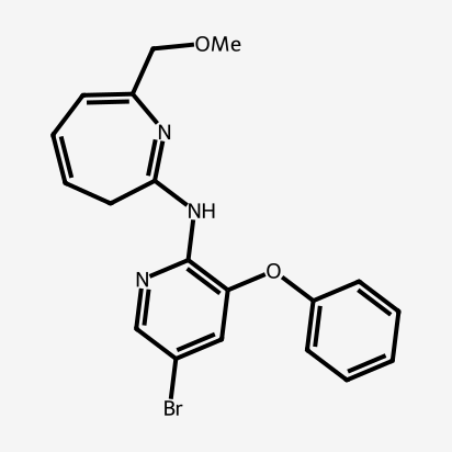 COCC1=CC=CCC(Nc2ncc(Br)cc2Oc2ccccc2)=N1